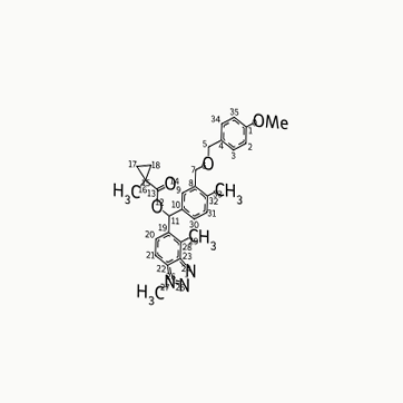 COc1ccc(COCc2cc(C(OC(=O)C3(C)CC3)c3ccc4c(nnn4C)c3C)ccc2C)cc1